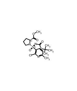 COC(=O)[C@@H]1CCCN1[S@](=O)(=NC(=O)OC(C)(C)C)c1ccc(C)nc1Cl